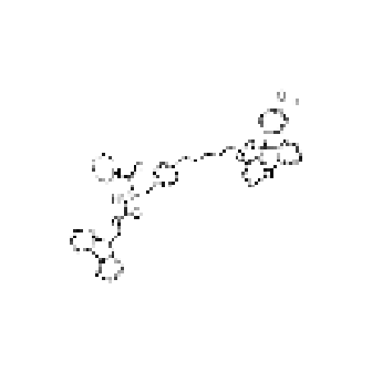 Cc1ccc(C(OC(=O)CCCCCc2ccc(C[C@H](NC(=O)OCC3c4ccccc4-c4ccccc43)C(=O)N3CCCCC3)cc2)(c2ccccc2)c2ccccc2Cl)cc1